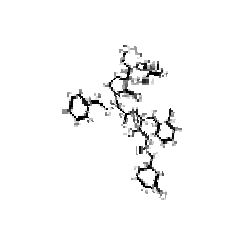 CC[C@H](C)C1(NC(C)=O)CCN([C@@H](CCc2ccccc2)C(=O)N[C@@H](Cc2ccccc2F)[C@H](O)CNCc2cccc(Cl)c2)C1=O